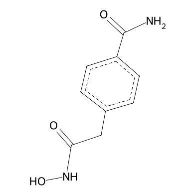 NC(=O)c1ccc(CC(=O)NO)cc1